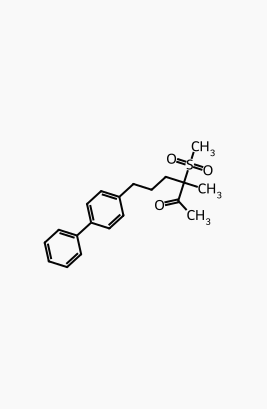 CC(=O)C(C)(CCCc1ccc(-c2ccccc2)cc1)S(C)(=O)=O